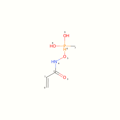 C=CC(=O)NO[PH](C)(O)O